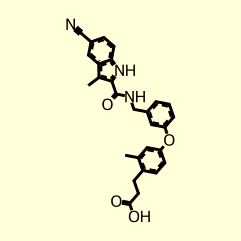 Cc1cc(Oc2cccc(CNC(=O)c3[nH]c4ccc(C#N)cc4c3C)c2)ccc1CCC(=O)O